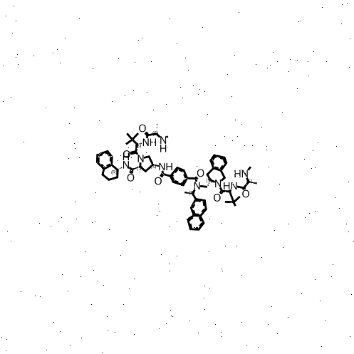 CN[C@@H](C)C(=O)NC(C(=O)N1Cc2ccccc2C[C@H]1CN(C(=O)c1ccc(C(=O)N[C@H]2C[C@@H](C(=O)N[C@@H]3CCCc4ccccc43)N(C(=O)[C@@H](NC(=O)[C@H](C)NC)C(C)(C)C)C2)cc1)[C@H](C)c1ccc2ccccc2c1)C(C)(C)C